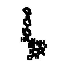 Cc1csc2c(-n3nc(Nc4ccc(C5CCN(C6CC7CCC6C7)CC5)nc4)nc3N)nc(Cl)nc12